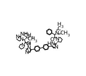 CCN(CC)[C@@H](C(=O)N1CCC[C@H]1c1ncc(-c2ccc(-c3ccc(-c4cnc([C@@H]5CCCN5C(=O)[C@H](C(C)C)N5CCN=C5N)[nH]4)cc3)cc2)[nH]1)c1ccccc1